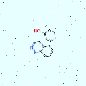 Oc1ccccc1.c1ccc2nnccc2c1